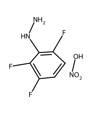 NNc1c(F)ccc(F)c1F.O=[N+]([O-])O